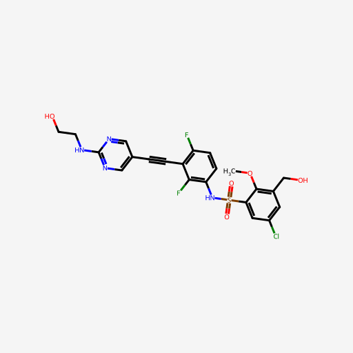 COc1c(CO)cc(Cl)cc1S(=O)(=O)Nc1ccc(F)c(C#Cc2cnc(NCCO)nc2)c1F